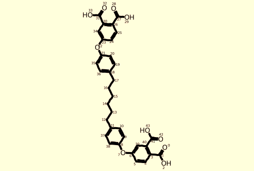 O=C(O)c1ccc(Oc2ccc(CCCCCCc3ccc(Oc4ccc(C(=O)O)c(C(=O)O)c4)cc3)cc2)cc1C(=O)O